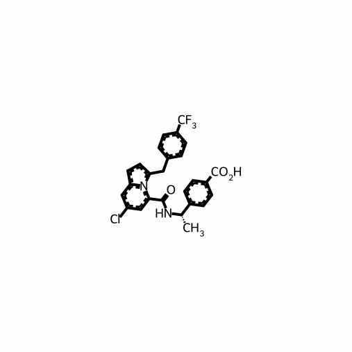 C[C@H](NC(=O)c1cc(Cl)cc2ccc(Cc3ccc(C(F)(F)F)cc3)n12)c1ccc(C(=O)O)cc1